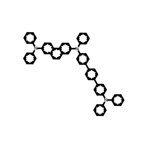 c1ccc(N(c2ccccc2)c2ccc(-c3ccc(-c4ccc(N(c5ccccc5)c5ccc6c(ccc7cc(N(c8ccccc8)c8ccccc8)ccc76)c5)cc4)cc3)cc2)cc1